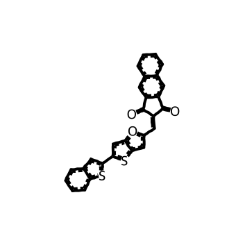 O=C1C(=Cc2cc3sc(-c4cc5ccccc5s4)cc3o2)C(=O)c2cc3ccccc3cc21